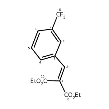 CCOC(=O)C(=Cc1cccc(C(F)(F)F)c1)C(=O)OCC